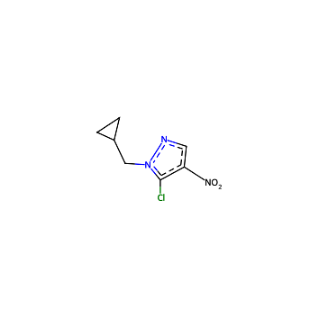 O=[N+]([O-])c1cnn(CC2CC2)c1Cl